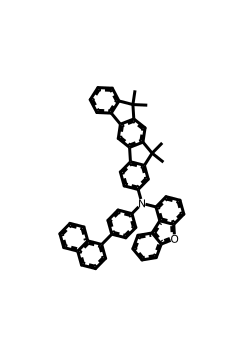 CC1(C)c2ccccc2-c2cc3c(cc21)C(C)(C)c1cc(N(c2ccc(-c4cccc5ccccc45)cc2)c2cccc4oc5ccccc5c24)ccc1-3